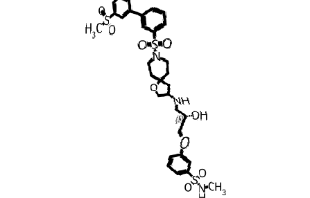 CNS(=O)(=O)c1cccc(OC[C@@H](O)CNC2COC3(CCN(S(=O)(=O)c4cccc(-c5cccc(S(C)(=O)=O)c5)c4)CC3)C2)c1